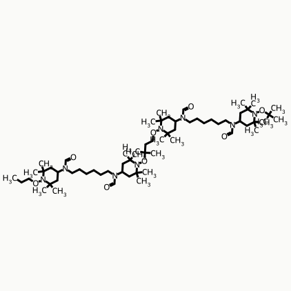 CCCON1C(C)(C)CC(N(C=O)CCCCCCN(C=O)C2CC(C)(C)N(OC(C)(C)CCON3C(C)(C)CC(N(C=O)CCCCCCN(C=O)C4CC(C)(C)N(OC(C)(C)C)C(C)(C)C4)CC3(C)C)C(C)(C)C2)CC1(C)C